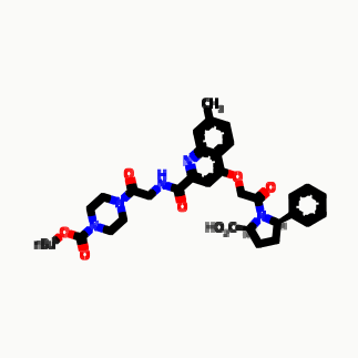 CCCCOC(=O)N1CCN(C(=O)CNC(=O)c2cc(OCC(=O)N3[C@@H](c4ccccc4)CC[C@H]3C(=O)O)c3ccc(C)cc3n2)CC1